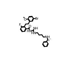 COc1ccc(Br)cc1CCc1c(F)cccc1C(=O)NC(=N)NCCCCN[C@H](C)c1ccccc1